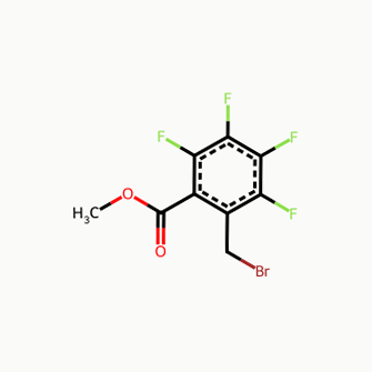 COC(=O)c1c(F)c(F)c(F)c(F)c1CBr